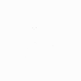 CC(=O)c1ccccc1CNI